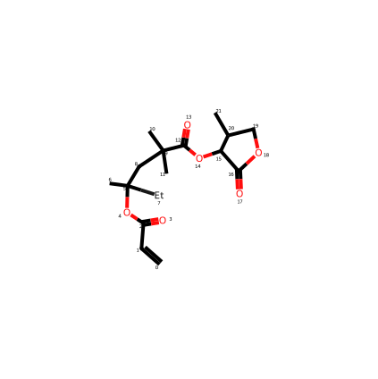 C=CC(=O)OC(C)(CC)CC(C)(C)C(=O)OC1C(=O)OCC1C